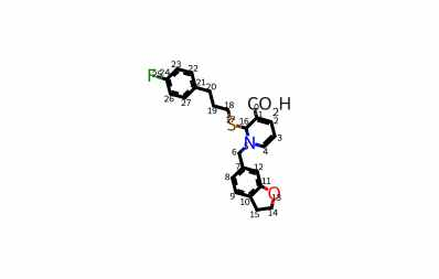 O=C(O)C1=CC=CN(Cc2ccc3c(c2)OCC3)C1SCCCc1ccc(F)cc1